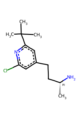 C[C@@H](N)CCc1cc(Cl)nc(C(C)(C)C)c1